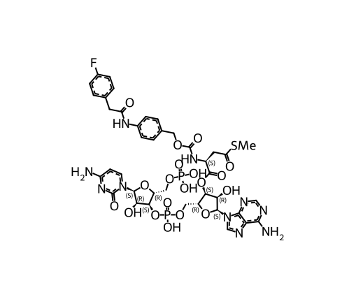 CSC(=O)C[C@H](NC(=O)OCc1ccc(NC(=O)Cc2ccc(F)cc2)cc1)C(=O)O[C@H]1[C@@H](O)[C@@H](n2cnc3c(N)ncnc32)O[C@@H]1COP(=O)(O)O[C@H]1[C@@H](O)[C@@H](n2ccc(N)nc2=O)O[C@@H]1COP(=O)(O)O